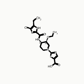 CCO[C@H]1CN(c2ncc(C(=O)O)s2)CC[C@H]1NC(=O)c1nc(Cl)c(CC)[nH]1